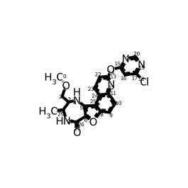 COCC1Nc2c(oc3ccc4nc(Oc5cc(Cl)ncn5)ccc4c23)C(=O)NC1C